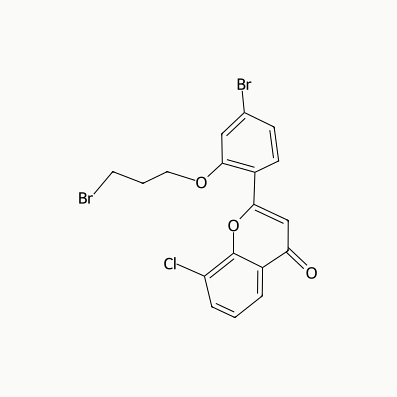 O=c1cc(-c2ccc(Br)cc2OCCCBr)oc2c(Cl)cccc12